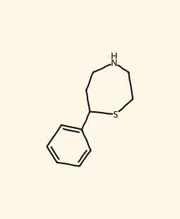 c1ccc(C2CCNCCS2)cc1